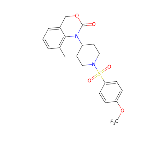 Cc1cccc2c1N(C1CCN(S(=O)(=O)c3ccc(OC(F)(F)F)cc3)CC1)C(=O)OC2